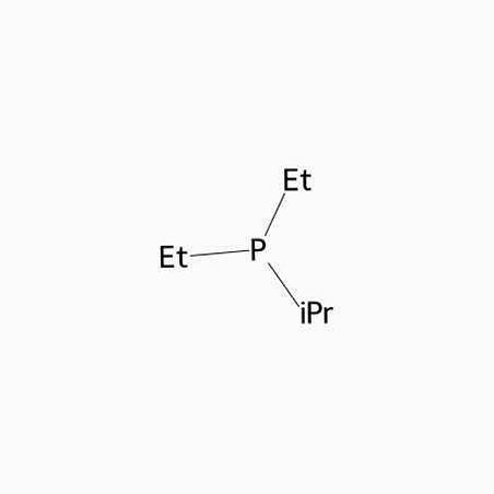 [CH2]C([CH2])P(CC)CC